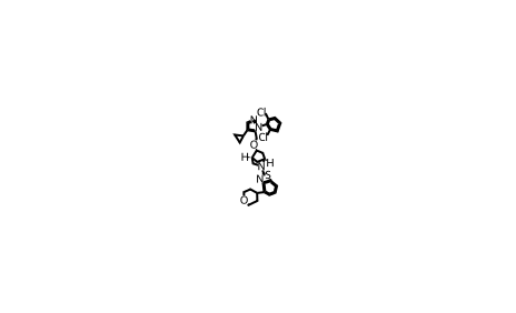 Clc1cccc(Cl)c1-n1ncc(C2CC2)c1CO[C@@H]1C[C@@H]2C[C@H]1CN2c1nc2c(C3CCOCC3)cccc2s1